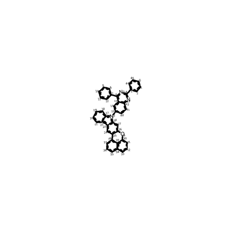 c1ccc(-c2nc(-c3ccccc3)c3cc(-n4c5ccccc5c5cc6c(cc54)Oc4cccc5cccc-6c45)ccc3n2)cc1